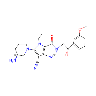 CCn1c(N2CCC[C@H](N)C2)c(C#N)c2ncn(CC(=O)c3cccc(OC)c3)c(=O)c21